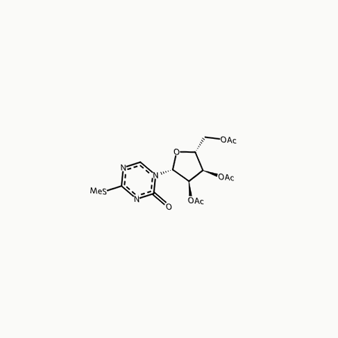 CSc1ncn([C@@H]2O[C@H](COC(C)=O)[C@@H](OC(C)=O)[C@H]2OC(C)=O)c(=O)n1